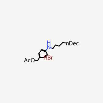 Br.CCCCCCCCCCCCCCNc1ccc(COC(C)=O)cc1